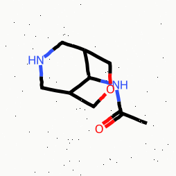 CC(=O)NC1C2CNCC1COC2